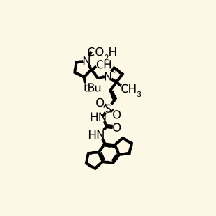 CC(C)(C)C1CCN(C(=O)O)C1(C)CN1CCC1(C)/C=C/S(=O)(=O)NC(=O)Nc1c2c(cc3c1CCC3)CCC2